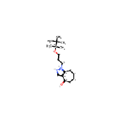 CC(C)(C)[Si](C)(C)OCCCn1ncc2c1CCCCC2=O